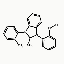 CNc1ccccc1N1c2ccccc2N(c2ccccc2C)C1C